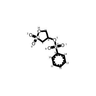 O=S1(=O)CC(OS(=O)(=O)c2ccccc2)CO1